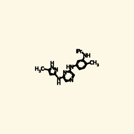 Cc1cc(Nc2cncc(Nc3ccc(C)c(NC(C)C)c3)n2)n[nH]1